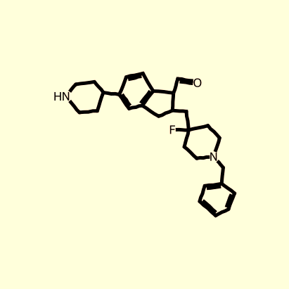 O=CC1c2ccc(C3CCNCC3)cc2CC1CC1(F)CCN(Cc2ccccc2)CC1